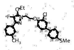 CCOc1c(F)c(-c2cccc(C)c2)nn1CCOc1ccc(-c2ccc(SC)cc2)cc1Cl